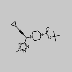 Cn1nnc(C(C#CC2CC2)N2CCN(C(=O)OC(C)(C)C)CC2)n1